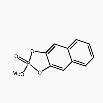 COP1(=O)Oc2cc3ccccc3cc2O1